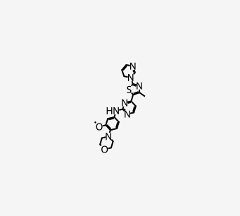 COc1cc(Nc2nccc(-c3sc(N4C=NC=CC4)nc3C)n2)ccc1N1CCOCC1